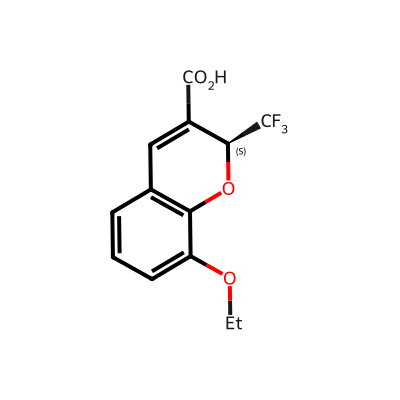 CCOc1cccc2c1O[C@H](C(F)(F)F)C(C(=O)O)=C2